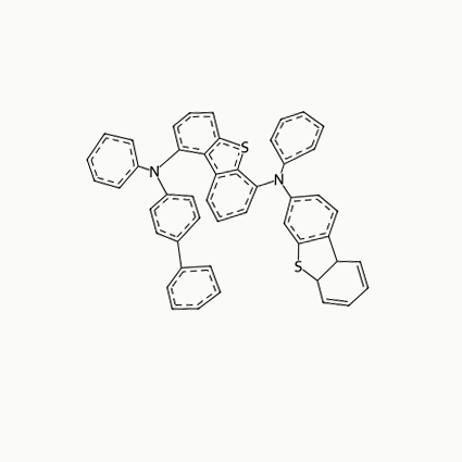 C1=CC2Sc3cc(N(c4ccccc4)c4cccc5c4sc4cccc(N(c6ccccc6)c6ccc(-c7ccccc7)cc6)c45)ccc3C2C=C1